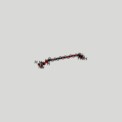 CCCN(C(=O)C1=Cc2ccc(-c3cnc(CNC(=O)CCOCCOCCOCCOCCOCCOCCOCCOCCOCCOCCC(=O)Oc4c(F)c(F)c(S(=O)O)c(F)c4F)nc3)cc2N=C(N)C1)C1CCC1